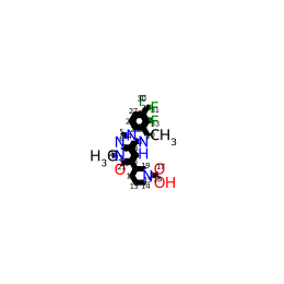 C[C@@H](Nc1ncnc2c1cc(C1CCCN(C(=O)O)C1)c(=O)n2C)c1cccc(C(F)F)c1F